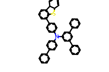 C1=CC2Sc3c(-c4ccc(N(c5ccc(-c6ccccc6)cc5)c5cc(-c6ccccc6)cc(-c6ccccc6)c5)cc4)cccc3C2C=C1